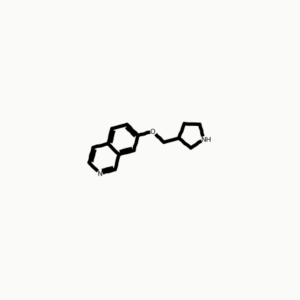 c1cc2ccc(OCC3CCNC3)cc2cn1